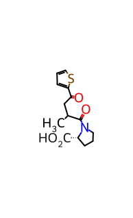 CC(CC(=O)c1cccs1)C(=O)N1CCC[C@@H]1C(=O)O